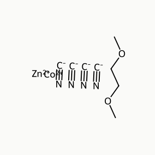 COCCOC.[C-]#N.[C-]#N.[C-]#N.[C-]#N.[Co+2].[Zn+2]